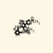 CC(=O)N1CCC(c2cc3c(n4cnnc24)NCc2c(F)cccc2COC3)CC1.C[SH](=O)=O